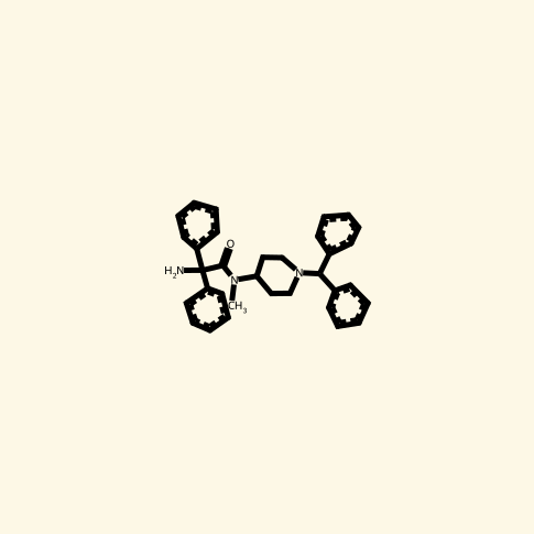 CN(C(=O)C(N)(c1ccccc1)c1ccccc1)C1CCN(C(c2ccccc2)c2ccccc2)CC1